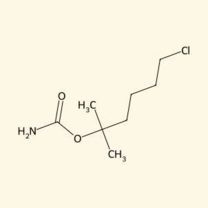 CC(C)(CCCCCl)OC(N)=O